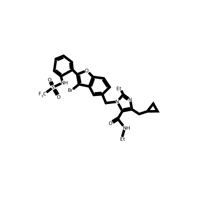 CCNC(=O)c1c(CC2CC2)nc(CC)n1Cc1ccc2oc(-c3ccccc3NS(=O)(=O)C(F)(F)F)c(Br)c2c1